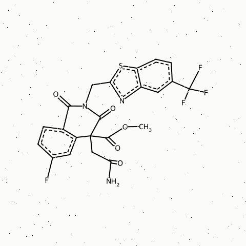 COC(=O)C1(CC(N)=O)C(=O)N(Cc2nc3cc(C(F)(F)F)ccc3s2)C(=O)c2ccc(F)cc21